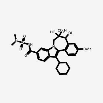 COc1ccc2c(c1)C(O)C(O)(C(=O)O)Cn1c-2c(C2CCCCC2)c2ccc(C(=O)NS(=O)(=O)N(C)C)cc21